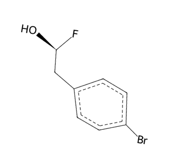 O[C@@H](F)Cc1ccc(Br)cc1